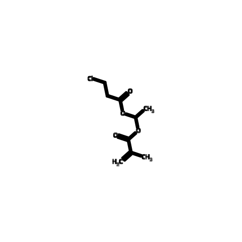 C=C(C)C(=O)OC(C)OC(=O)CCCl